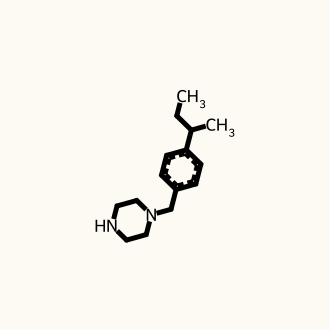 CCC(C)c1ccc(CN2CCNCC2)cc1